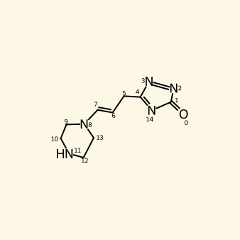 O=C1N=NC(CC=CN2CCNCC2)=N1